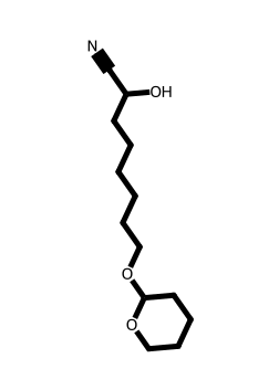 N#CC(O)CCCCCCOC1CCCCO1